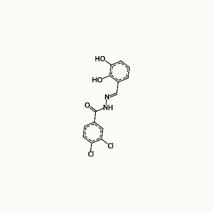 O=C(NN=Cc1cccc(O)c1O)c1ccc(Cl)c(Cl)c1